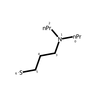 CCCN(CCC)CCC[S]